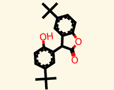 CC(C)(C)c1ccc(O)c(C2C(=O)Oc3ccc(C(C)(C)C)cc32)c1